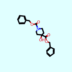 O=C(OCc1ccccc1)N1CCC(O)(C(=O)OCc2ccccc2)CC1